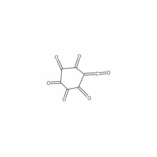 O=C=C1C(=O)C(=O)C(=O)C(=O)C1=O